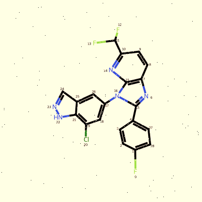 Fc1ccc(-c2nc3ccc(C(F)F)nc3n2-c2cc(Cl)c3[nH]ncc3c2)cc1